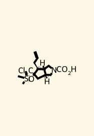 C=CC[C@H]1[C@@H]2CN(C(=O)O)C[C@@H]2CC1(O[Si](C)(C)C)C(Cl)(Cl)Cl